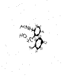 CC(=O)Nc1ncccc1C(=O)O.Cc1ccccc1